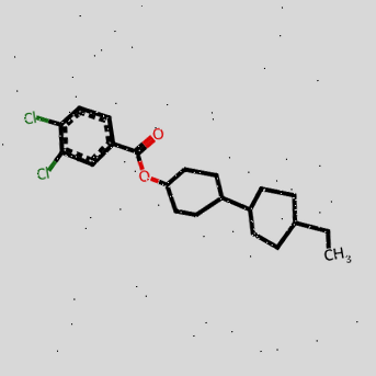 CCC1CCC(C2CCC(OC(=O)c3ccc(Cl)c(Cl)c3)CC2)CC1